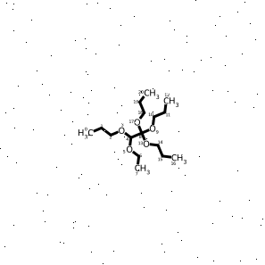 CCCOC(OCC)C(OCCC)(OCCC)OCCC